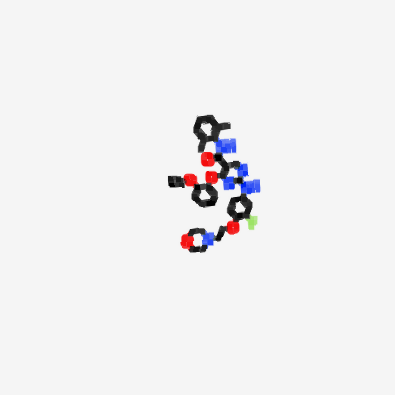 CCOc1ccccc1Oc1nc(Nc2ccc(OCCN3CCOCC3)c(F)c2)ncc1C(=O)Nc1c(C)cccc1C